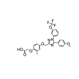 COc1ccc(-c2nc(COc3ccc(OCC(=O)O)c(C)c3)nn2-c2cccc(OC(F)(F)F)c2)cc1